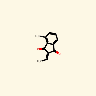 CC=C1C(=O)c2cccc([N+](=O)[O-])c2C1=O